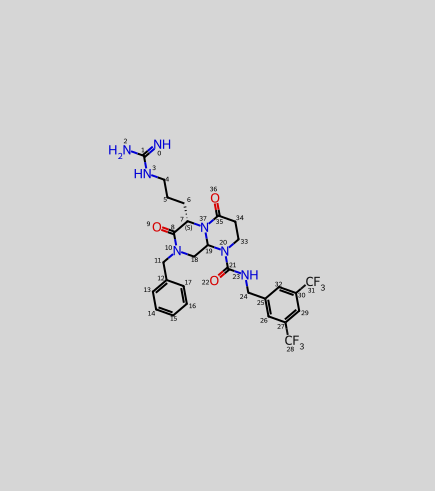 N=C(N)NCCC[C@H]1C(=O)N(Cc2ccccc2)CC2N(C(=O)NCc3cc(C(F)(F)F)cc(C(F)(F)F)c3)CCC(=O)N21